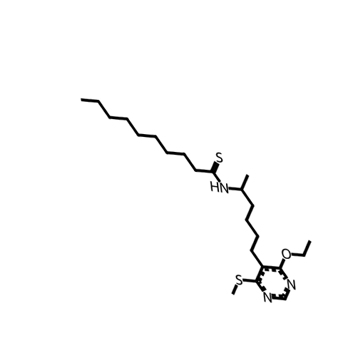 CCCCCCCCCC(=S)NC(C)CCCCc1c(OCC)ncnc1SC